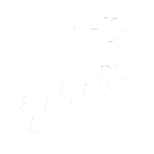 COc1cccc(Cn2c(C)nn(-c3ccc(-c4ccnc(N)c4)cc3)c2=O)c1